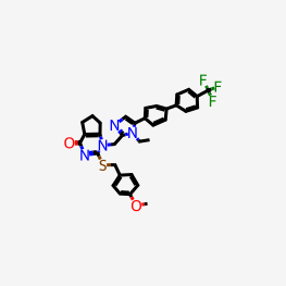 CCn1c(-c2ccc(-c3ccc(C(F)(F)F)cc3)cc2)cnc1Cn1c(SCc2ccc(OC)cc2)nc(=O)c2c1CCC2